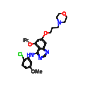 COc1ccc(Cl)c(Nc2ncnc3cc(OCCCN4CCOCC4)cc(OC(C)C)c23)c1